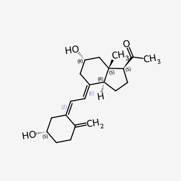 C=C1CC[C@H](O)C/C1=C/C=C1\C[C@H](O)C[C@]2(C)[C@@H](C(C)=O)CC[C@@H]12